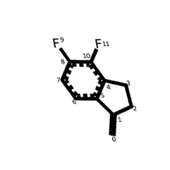 C=C1CCc2c1ccc(F)c2F